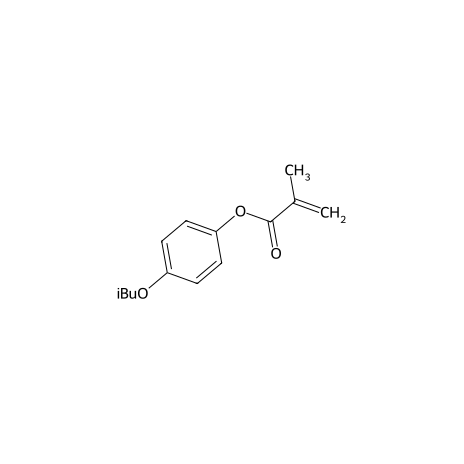 C=C(C)C(=O)Oc1ccc(OCC(C)C)cc1